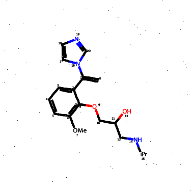 C=C(c1cccc(OC)c1OCC(O)CNC(C)C)n1ccnc1